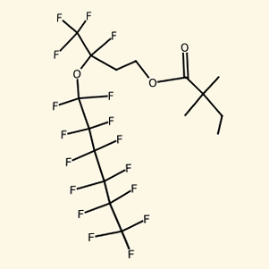 CCC(C)(C)C(=O)OCCC(F)(OC(F)(F)C(F)(F)C(F)(F)C(F)(F)C(F)(F)C(F)(F)F)C(F)(F)F